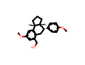 COc1ccc([C@@H]2Cc3c(CO)cc(OC)cc3[C@@H]3CCC[C@H]23)cc1